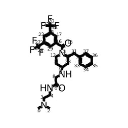 CN(C)CCNC(=O)CNC1CCN(C(=O)c2cc(C(F)(F)F)cc(C(F)(F)F)c2)C(Cc2ccccc2)C1